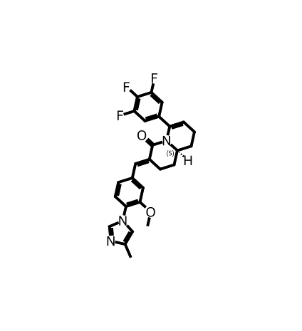 COc1cc(C=C2CC[C@@H]3CCC=C(c4cc(F)c(F)c(F)c4)N3C2=O)ccc1-n1cnc(C)c1